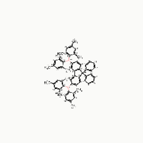 Cc1cc(C)c(B(c2ccc3c(c2)-c2cc(B(c4c(C)cc(C)cc4C)c4c(C)cc(C)cc4C)ccc2C3(c2ccccc2)c2ccccc2)c2c(C)cc(C)cc2C)c(C)c1